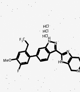 COc1cc(CC(F)(F)F)c(-c2ccc3c(-c4nc5c([nH]4)CNCC5)n[nH]c3c2)cc1F.Cl.Cl.Cl